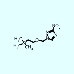 C[Si](C)(C)CCOCn1cnc([N+](=O)[O-])n1